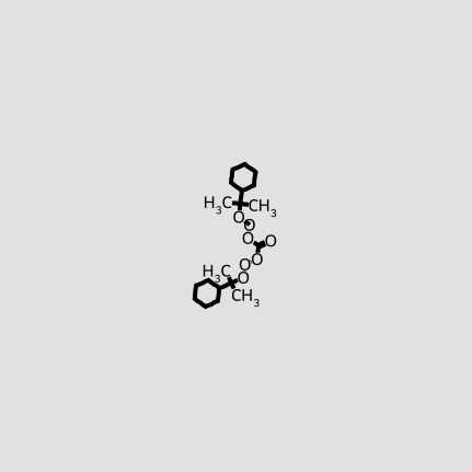 CC(C)(OOOC(=O)OOOC(C)(C)C1CCCCC1)C1CCCCC1